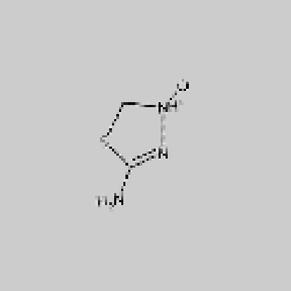 NC1=N[NH+]([O-])CS1